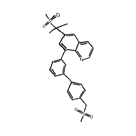 CC(C)(c1cc(-c2cccc(-c3ccc(CS(C)(=O)=O)cc3)c2)c2ncccc2c1)S(C)(=O)=O